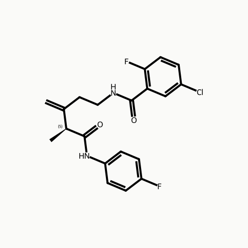 C=C(CCNC(=O)c1cc(Cl)ccc1F)[C@H](C)C(=O)Nc1ccc(F)cc1